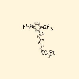 CCOC(=O)CCCCCOc1cc(N)ccc1C(F)(F)F